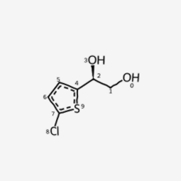 OC[C@H](O)c1ccc(Cl)s1